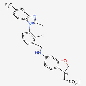 Cc1c(CNc2ccc3c(c2)OC[C@H]3CC(=O)O)cccc1-n1c(C)nc2cc(C(F)(F)F)ccc21